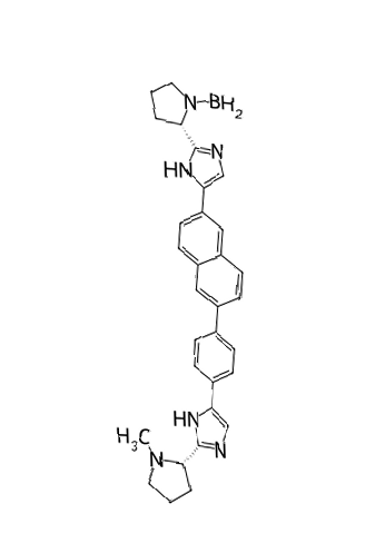 BN1CCC[C@H]1c1ncc(-c2ccc3cc(-c4ccc(-c5cnc([C@@H]6CCCN6C)[nH]5)cc4)ccc3c2)[nH]1